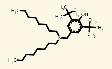 CCCCCCCCN(CCCCCCCC)Cc1cc(C(C)(C)C)c(O)c(C(C)(C)C)c1